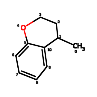 CC1CCOc2ccccc21